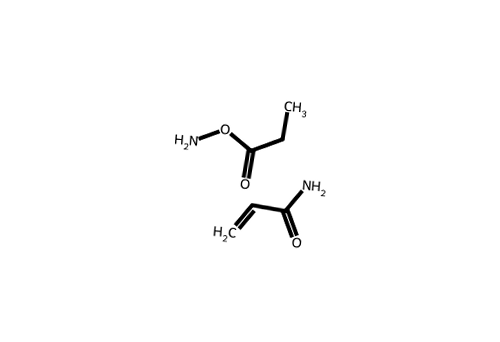 C=CC(N)=O.CCC(=O)ON